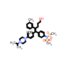 C=C(/C=C\C(=C/C)N1CCN(C(C)C)CC1)/C(C1=CCC(N(S(C)(=O)=O)S(C)(=O)=O)C=C1)=C(/CCCO)C1=C[C@@H](C)CC=C1